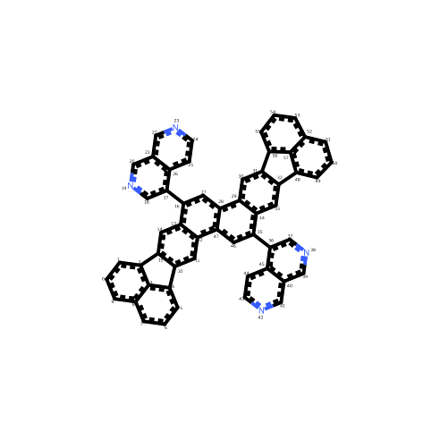 c1cc2c3c(cccc3c1)-c1cc3c(cc1-2)c(-c1cncc2cnccc12)cc1c2cc4c(cc2c(-c2cncc5cnccc25)cc31)-c1cccc2cccc-4c12